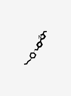 CCCC[C@H]1CC[C@H](CCc2ccc(-c3ccc(CC)cn3)cc2)CC1